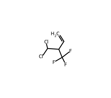 C=CC(C(Cl)Cl)C(F)(F)F